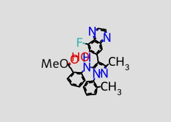 COC(=O)c1ccccc1Nc1c(-c2cc3nccnc3c(F)c2O)c(C)nn1-c1ccccc1C